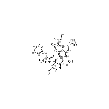 CC[C@H](C)[C@H](NC(=O)[C@@H](Cc1ccccc1)NC)C(=O)N[C@@H](CO)C(=O)N[C@H](CCC(N)=O)C(=O)N[C@@H](C(C)=O)[C@@H](C)CC